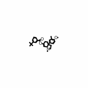 COc1ccc(C23CCC(OC(=O)c4cccc(C(C)(C)C)c4)=CC2N(C)CC3)cc1C